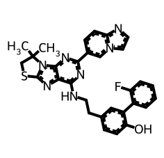 CC1(C)CSc2nc3c(NCCc4ccc(O)c(-c5ccccc5F)c4)nc(-c4ccc5nccn5c4)nc3n21